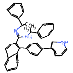 CC(/N=C(\NC(C)c1ccccc1)c1ccc2ccccc2c1-c1ccc(C2=CC=CNC2)cc1)c1ccccc1